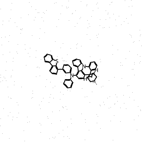 C[C@@H]1C[C@H]2CCC[C@@H](C1)C21c2ccccc2-n2c3ccccc3c3c(N(c4ccccc4)c4cccc(-c5cccc6c5sc5ccccc56)c4)ccc1c32